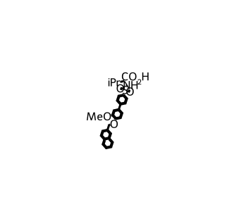 COc1cc(-c2ccc(S(=O)(=O)N[C@@H](C(=O)O)C(C)C)cc2)ccc1OCc1ccc2ccccc2c1